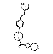 NC/C(=C\F)COc1ccc(C23CCCC(C(=O)N4CC5(CCOCC5)C4)(CC2)CC3)cc1